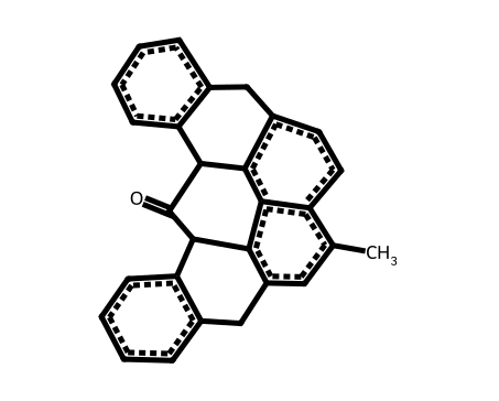 Cc1cc2c3c4c5c(ccc14)Cc1ccccc1C5C(=O)C3c1ccccc1C2